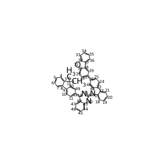 CC1(C)c2ccccc2-c2ccc(-c3nc(-n4c5ccccc5c5ccc(-c6ccc7oc8ccccc8c7c6)cc54)nc4ccccc34)cc21